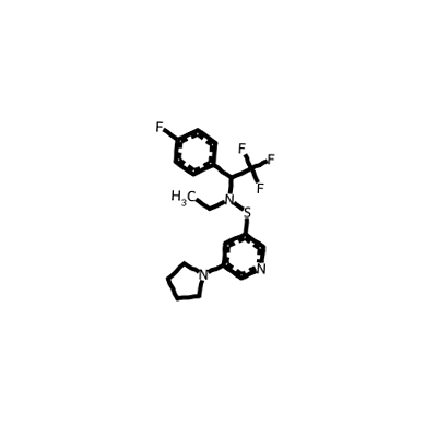 CCN(Sc1cncc(N2CCCC2)c1)C(c1ccc(F)cc1)C(F)(F)F